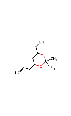 C=CCC1CC(CC#N)OC(C)(C)O1